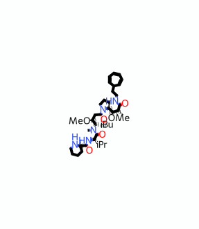 CC[C@H](C)[C@@H]([C@H](CC(=O)N1CCC[C@H]1[C@H](OC)[C@@H](C)C(=O)NCCC1C=CC=CC=C1)OC)N(C)C(=O)[C@@H](NC(=O)[C@@]1(C)CCCCN1)C(C)C